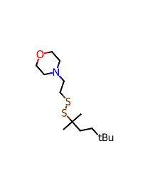 CC(C)(C)CCC(C)(C)SSCCN1CCOCC1